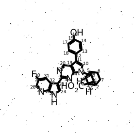 O=C(O)[C@@H]1C2CCC(CC2)[C@H]1n1cc(-c2ccc(O)cc2)c2cnc(-c3c[nH]c4ncc(F)cc34)nc21